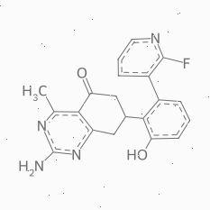 Cc1nc(N)nc2c1C(=O)CC(c1c(O)cccc1-c1cccnc1F)C2